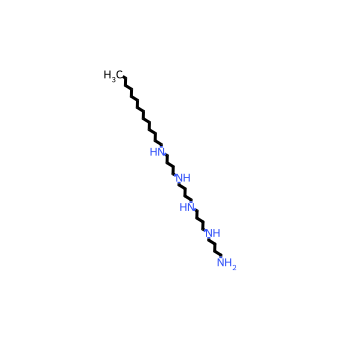 CCCCCCCCCCCCCCNCCCCNCCCCNCCCCNCCCCN